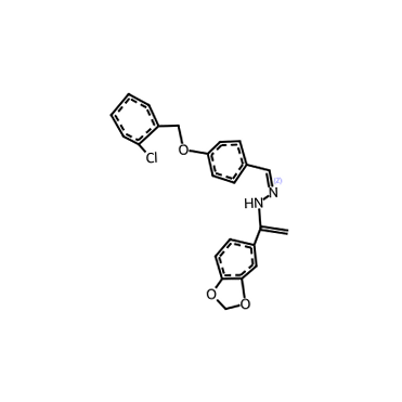 C=C(N/N=C\c1ccc(OCc2ccccc2Cl)cc1)c1ccc2c(c1)OCO2